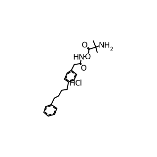 CC(C)(N)C(=O)ONC(=O)Cc1ccc(CCCCc2ccccc2)cc1.Cl